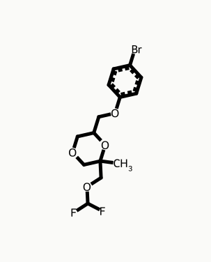 CC1(COC(F)F)COCC(COc2ccc(Br)cc2)O1